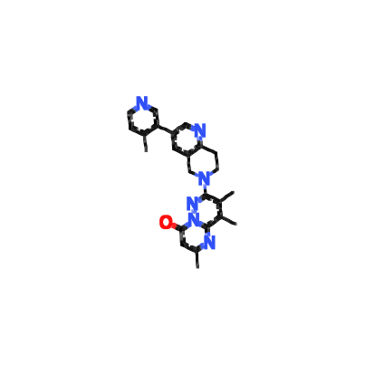 Cc1cc(=O)n2nc(N3CCc4ncc(-c5cnccc5C)cc4C3)c(C)c(C)c2n1